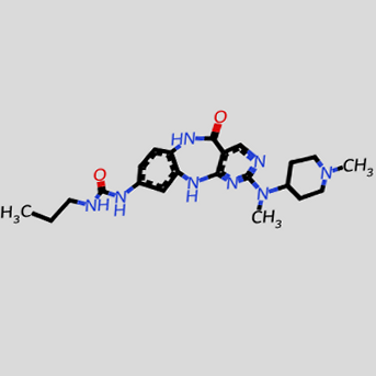 CCCNC(=O)Nc1ccc2c(c1)Nc1nc(N(C)C3CCN(C)CC3)ncc1C(=O)N2